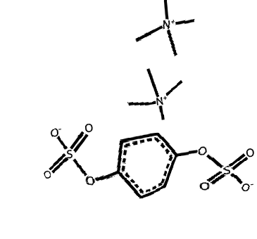 C[N+](C)(C)C.C[N+](C)(C)C.O=S(=O)([O-])Oc1ccc(OS(=O)(=O)[O-])cc1